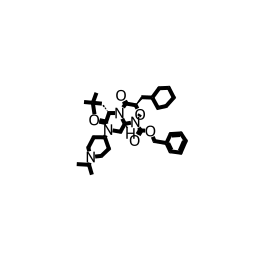 CC(C)N1CCC(N2C[C@@H]3N(C(=O)OCc4ccccc4)O[C@H](CC4CCCCC4)C(=O)N3[C@@H](CC(C)(C)C)C2=O)CC1